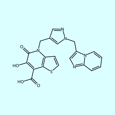 O=C(O)c1c(O)c(=O)n(Cc2cnn(Cc3cnc4ccccn34)c2)c2ccsc12